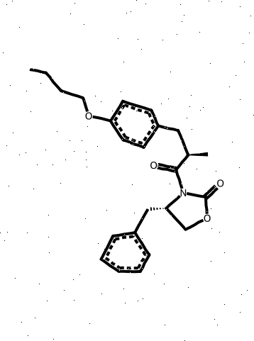 CCCCOc1ccc(C[C@@H](C)C(=O)N2C(=O)OC[C@@H]2Cc2ccccc2)cc1